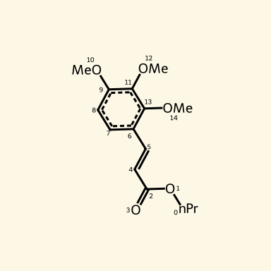 CCCOC(=O)C=Cc1ccc(OC)c(OC)c1OC